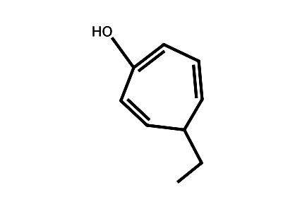 CCC1C=CC=C(O)C=C1